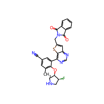 Cc1cc(C#N)cc(-c2ncnc3cc(CN4C(=O)c5ccccc5C4=O)sc23)c1O[C@@H]1CNC[C@@H]1F